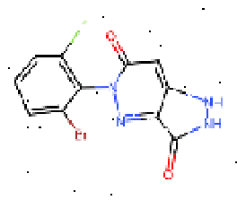 O=c1[nH][nH]c2cc(=O)n(-c3c(F)cccc3Br)nc12